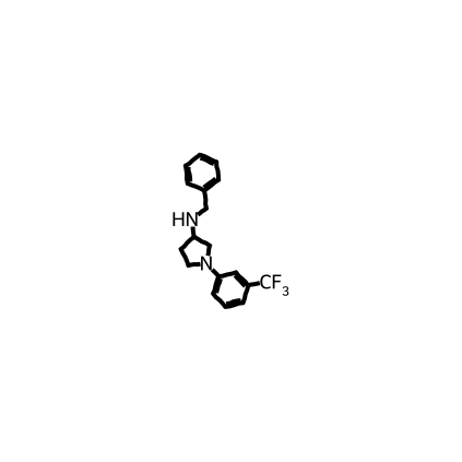 FC(F)(F)c1cccc(N2CCC(NCc3ccccc3)C2)c1